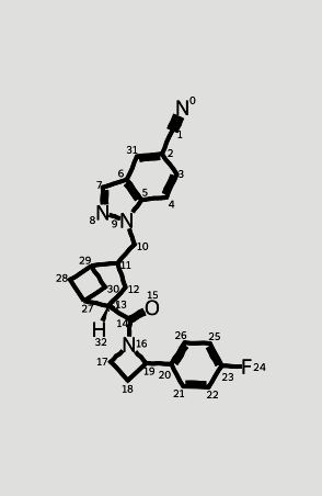 N#Cc1ccc2c(cnn2CC2C[C@H](C(=O)N3CCC3c3ccc(F)cc3)C3CC2C3)c1